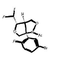 CC(=O)N1OC[C@@H]2[C@@H](C(F)F)OC[C@@]21c1cc(Br)ccc1F